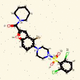 O=C(c1cc2c(Br)c(N3CCN(S(=O)(=O)c4c(Cl)cccc4Cl)CC3)ccc2o1)N1CCCCC1